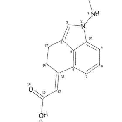 CNn1cc2c3c(cccc31)/C(=C/C(=O)O)CC2